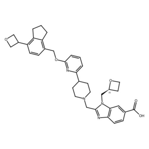 O=C(O)c1ccc2nc(CN3CCC(c4cccc(OCc5ccc(C6COC6)c6c5CCC6)n4)CC3)n(C[C@@H]3CCO3)c2c1